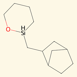 C1CC[SiH](CC2CC3CCC2C3)OC1